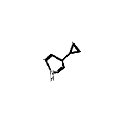 [CH]1CC(C2CC2)C=CN1